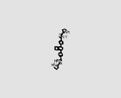 c1cc(-c2ccc(-c3ccc(-c4cnc(C5CCCN5)[nH]4)cc3)c3c2C2CCC3C2)ccc1-c1cnc(C2CCCN2)[nH]1